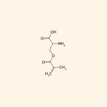 C=C(C)C(=O)OCC(N)C(=O)O